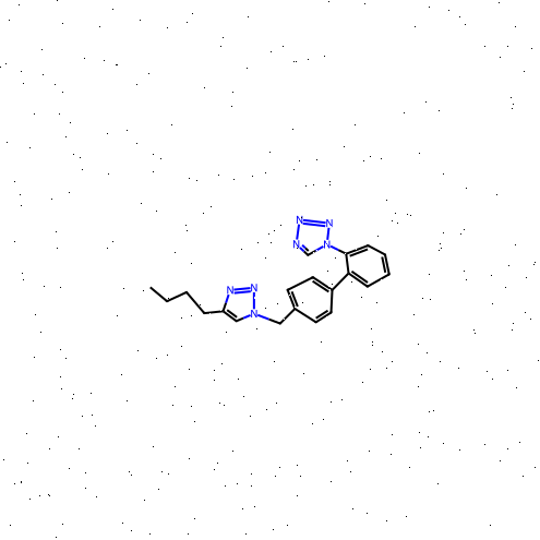 CCCCc1cn(Cc2ccc(-c3ccccc3-n3cnnn3)cc2)nn1